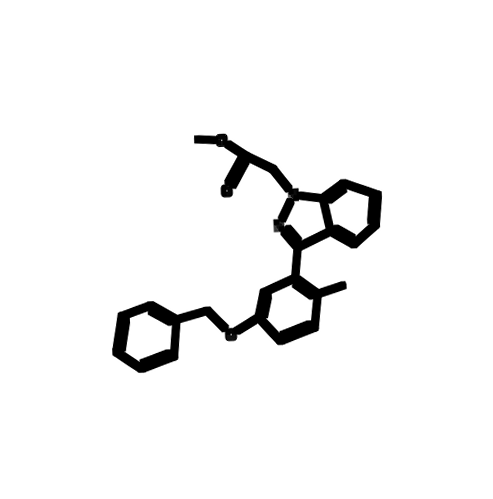 COC(=O)Cn1nc(-c2cc(OCc3ccccc3)ccc2C)c2ccccc21